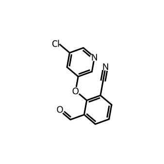 N#Cc1cccc(C=O)c1Oc1cncc(Cl)c1